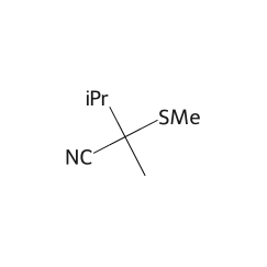 CSC(C)(C#N)C(C)C